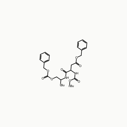 CCCCOC(=O)NC(CC(=O)OCc1ccccc1)C(=O)NC(COC(=O)OCc1ccccc1)C(C)(C)C